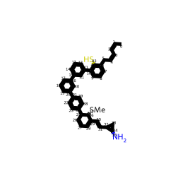 C/C=C\C=C/Cc1cccc(-c2cccc(-c3cccc(-c4ccc(C5C=CC=C(/C=C/C6CC6N)C5SC)cc4)c3)c2)c1S